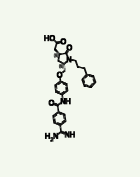 N=C(N)c1ccc(C(=O)Nc2ccc(OC[C@@H]3C[C@@H](CC(=O)O)C(=O)N3CCCc3ccccc3)cc2)cc1